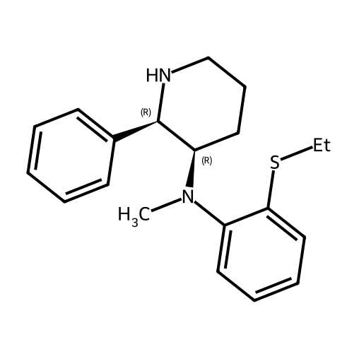 CCSc1ccccc1N(C)[C@@H]1CCCN[C@@H]1c1ccccc1